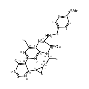 CSc1ccc(CNc2nc3c(C)nc(-c4c(C)ncnc4C4CC4)nc3n([C@@H](C)C(F)(F)F)c2=O)cc1